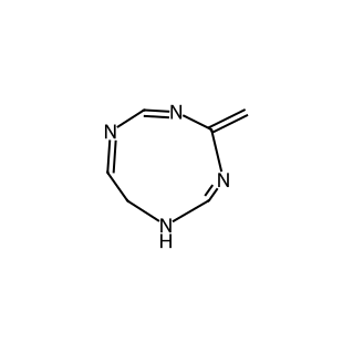 C=C1/N=C\N=C/CN/C=N\1